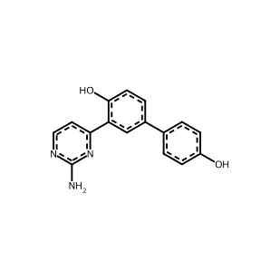 Nc1nccc(-c2cc(-c3ccc(O)cc3)ccc2O)n1